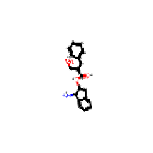 NC1c2ccccc2CC1OC(=O)C(CO)Cc1ccccc1